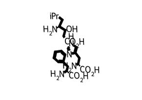 CC(C)C[C@H](N)[C@@H](O)CC(=O)O.N[C@@H](Cc1c[nH]cn1)C(=O)O.N[C@@H](Cc1ccccc1)C(=O)O